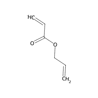 [CH]=CC(=O)OCC=C